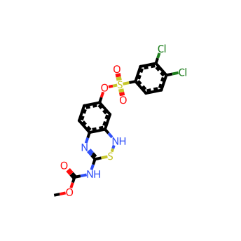 COC(=O)NC1=Nc2ccc(OS(=O)(=O)c3ccc(Cl)c(Cl)c3)cc2NS1